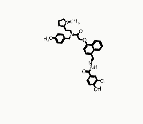 Cc1ccc(CN(CCC2CCCN2C)C(=O)COc2ccc(/C=N/NC(=O)c3ccc(O)c(Cl)c3)c3ccccc23)cc1